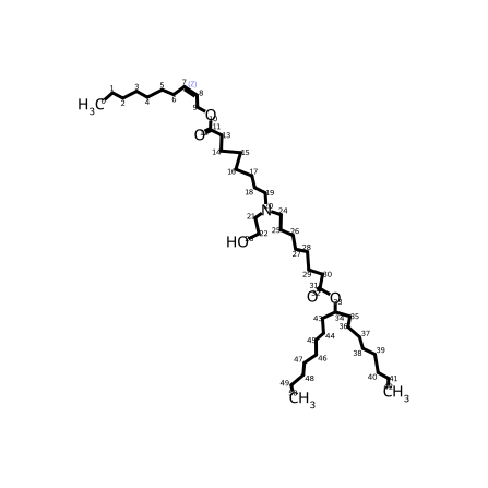 CCCCCCC/C=C\COC(=O)CCCCCCCN(CCO)CCCCCCCC(=O)OC(CCCCCCCC)CCCCCCCC